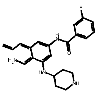 C=C/C=c1/cc(NC(=O)c2cccc(F)c2)cc(NC2CCNCC2)/c1=C/N